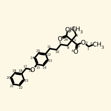 CCOC(=O)C(CC)(CCCCc1ccc(OCc2ccccc2)cc1)C(=O)O